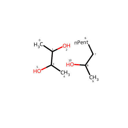 CC(O)C(C)O.CCCCCCC(C)O